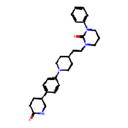 O=C1CCC(c2ccc(N3CCC(CCN4CCCN(c5ccccc5)C4=O)CC3)cc2)CN1